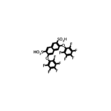 O=S(=O)(O)c1cc2cc(S(=O)(=O)O)c(Oc3c(F)c(F)c(F)c(F)c3F)cc2cc1Oc1c(F)c(F)c(F)c(F)c1F